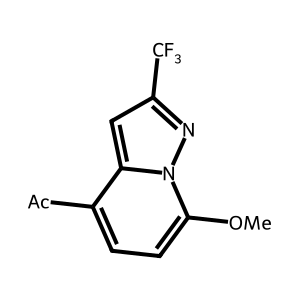 COc1ccc(C(C)=O)c2cc(C(F)(F)F)nn12